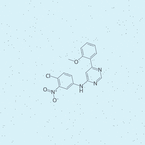 COc1ccccc1-c1cc(Nc2ccc(Cl)c([N+](=O)[O-])c2)ncn1